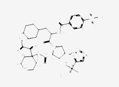 CCS(=O)(=O)c1ccc(C(=O)NC(CC2CCCCC2)C(=O)N2C[C@@H](n3nncc3C(C)(C)O)C[C@H]2C(=O)NC2(C(=O)C(N)=O)CCOCC2)cc1